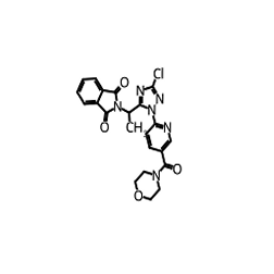 CC(c1nc(Cl)nn1-c1ccc(C(=O)N2CCOCC2)cn1)N1C(=O)c2ccccc2C1=O